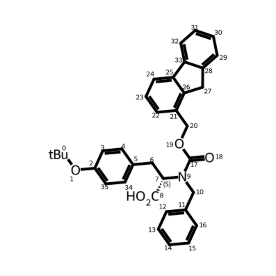 CC(C)(C)Oc1ccc(C[C@@H](C(=O)O)N(Cc2ccccc2)C(=O)OCc2cccc3c2Cc2ccccc2-3)cc1